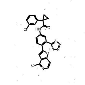 O=C(Nc1ccc(-c2cc3c(Cl)nccc3o2)c(-c2nnn[nH]2)c1)C1(c2cccc(Cl)c2)CC1